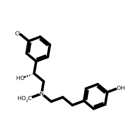 O=C(O)N(CCCc1ccc(O)cc1)C[C@H](O)c1cccc(Cl)c1